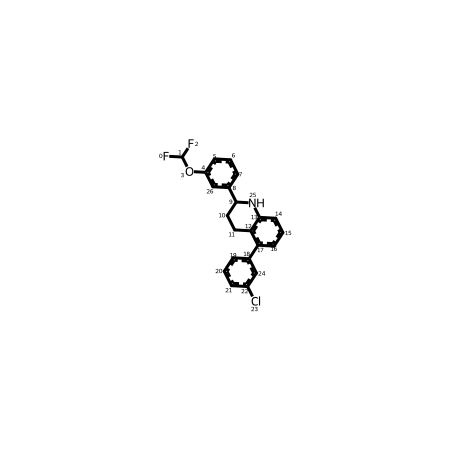 FC(F)Oc1cccc(C2CCc3c(cccc3-c3cccc(Cl)c3)N2)c1